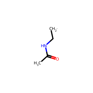 [CH2]CNC(C)=O